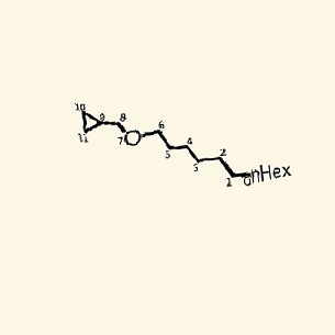 CCCCCCCCCCCCOCC1CC1